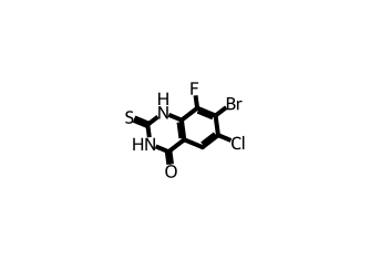 O=c1[nH]c(=S)[nH]c2c(F)c(Br)c(Cl)cc12